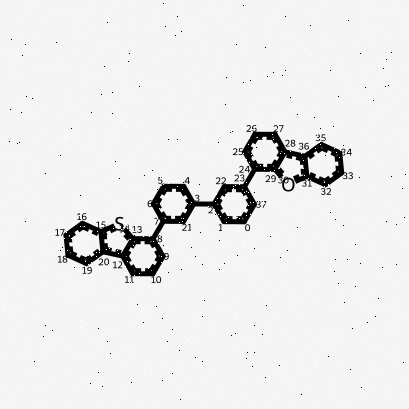 c1cc(-c2cccc(-c3cccc4c3sc3ccccc34)c2)cc(-c2cccc3c2oc2ccccc23)c1